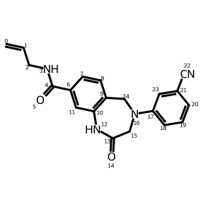 C=CCNC(=O)c1ccc2c(c1)NC(=O)CN(c1cccc(C#N)c1)C2